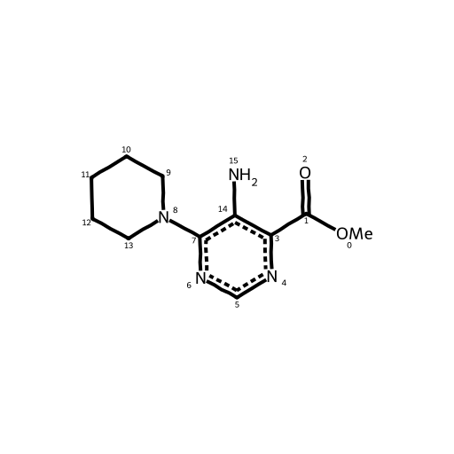 COC(=O)c1ncnc(N2CCCCC2)c1N